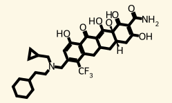 NC(=O)C1=C(O)C[C@@H]2CC3Cc4c(c(O)cc(CN(CCC5CCCCC5)CC5CC5)c4C(F)(F)F)C(=O)C3=C(O)[C@]2(O)C1=O